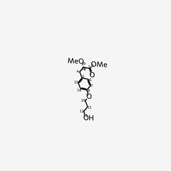 COC(=O)[C@H](Cc1ccc(OCCCO)cc1)OC